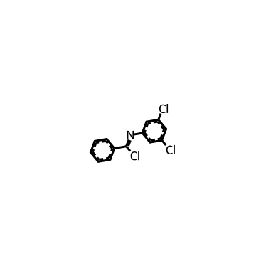 Cl/C(=N\c1cc(Cl)cc(Cl)c1)c1ccccc1